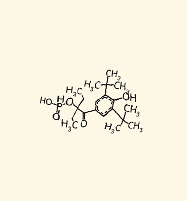 CCC(CC)(O[PH](=O)O)C(=O)c1cc(C(C)(C)C)c(O)c(C(C)(C)C)c1